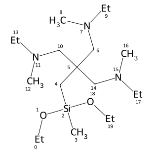 CCO[Si](C)(CC(CN(C)CC)(CN(C)CC)CN(C)CC)OCC